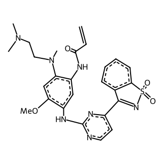 C=CC(=O)Nc1cc(Nc2nccc(C3=NS(=O)(=O)c4ccccc43)n2)c(OC)cc1N(C)CCN(C)C